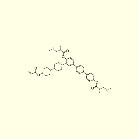 C=CC(=O)OC1CCC(C2CCC(c3cc(-c4ccc(-c5ccc(OC(=O)C(=C)COC)cc5)cc4)ccc3OC(=O)C(=C)COC)CC2)CC1